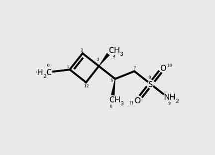 [CH2]C1=C[C@](C)([C@H](C)CS(N)(=O)=O)C1